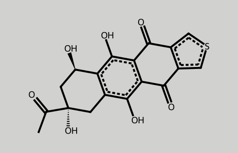 CC(=O)[C@]1(O)Cc2c(O)c3c(c(O)c2[C@H](O)C1)C(=O)c1cscc1C3=O